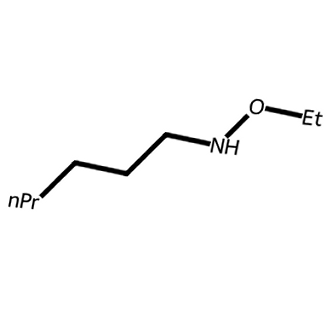 CCCCCCNOCC